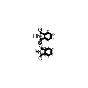 CN1C(=O)c2ccccc2C1=O.O=C1NC(=O)c2ccccc21